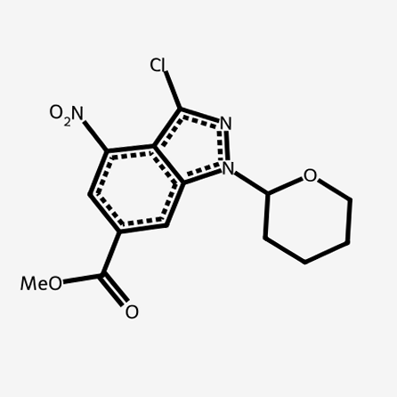 COC(=O)c1cc([N+](=O)[O-])c2c(Cl)nn(C3CCCCO3)c2c1